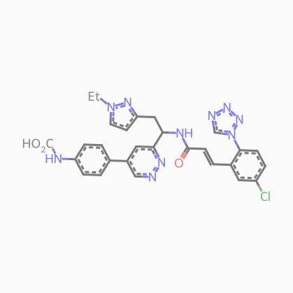 CCn1ccc(CC(NC(=O)C=Cc2cc(Cl)ccc2-n2cnnn2)c2cc(-c3ccc(NC(=O)O)cc3)cnn2)n1